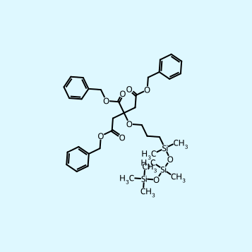 C[Si](C)(C)O[Si](C)(C)O[Si](C)(C)CCCOC(CC(=O)OCc1ccccc1)(CC(=O)OCc1ccccc1)C(=O)OCc1ccccc1